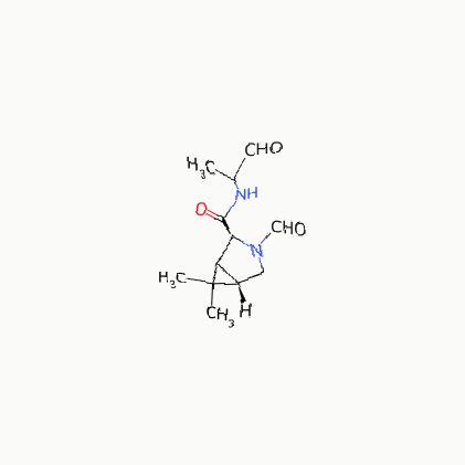 CC(C=O)NC(=O)[C@@H]1C2[C@H](CN1C=O)C2(C)C